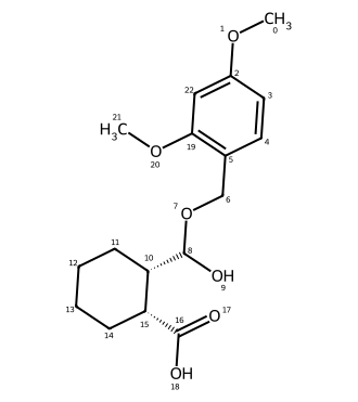 COc1ccc(COC(O)[C@H]2CCCC[C@H]2C(=O)O)c(OC)c1